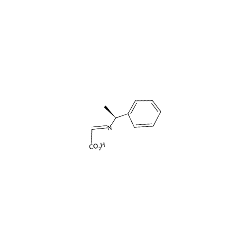 C[C@H](N=CC(=O)O)c1ccccc1